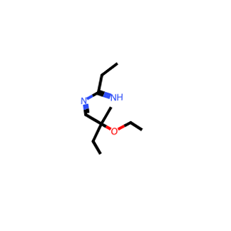 CCOC(C)(/C=N\C(=N)CC)CC